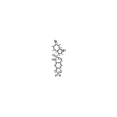 O=S(=O)(Nc1cc2c(cc1F)OC(F)(F)O2)c1c[nH]c2cc(Br)ccc12